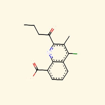 CCCC(=O)c1nc2c(C(=O)O)cccc2c(Cl)c1C